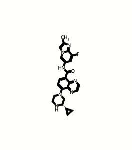 Cc1cn2cc(NC(=O)c3ccc(N4CCN[C@@H](C5CC5)C4)c4nccnc34)cc(F)c2n1